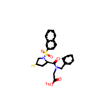 O=C(O)CN(Cc1ccccc1)C(=O)C1CC(S)CN1S(=O)(=O)c1ccc2ccccc2c1